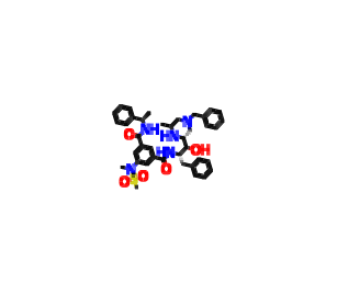 CC1CN(Cc2ccccc2)C[C@H]([C@@H](O)[C@H](Cc2ccccc2)NC(=O)c2cc(C(=O)N[C@H](C)c3ccccc3)cc(N(C)S(C)(=O)=O)c2)N1